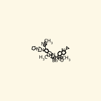 COc1cc(N2CCN(C3CCCC3)CC2)c(-c2cnn(C)c2)cc1Cc1ncc(Br)c(Nc2ccc3nc(C4CC4)ccc3c2P(C)(C)=O)n1